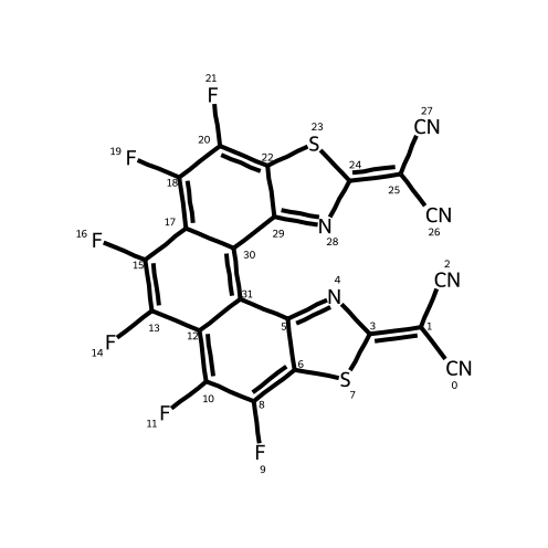 N#CC(C#N)=c1nc2c(s1)c(F)c(F)c1c(F)c(F)c3c(F)c(F)c4sc(=C(C#N)C#N)nc4c3c12